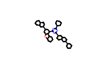 c1ccc(-c2ccc3cc(-c4nc(-c5ccccc5)nc(-c5cc(-c6ccc7ccccc7c6)cc6oc7ccccc7c56)n4)ccc3c2)cc1